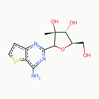 C[C@]1(O)C(c2nc(N)c3sccc3n2)O[C@H](CO)[C@H]1O